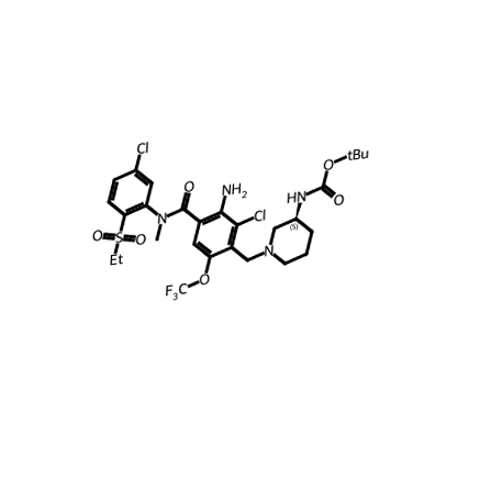 CCS(=O)(=O)c1ccc(Cl)cc1N(C)C(=O)c1cc(OC(F)(F)F)c(CN2CCC[C@H](NC(=O)OC(C)(C)C)C2)c(Cl)c1N